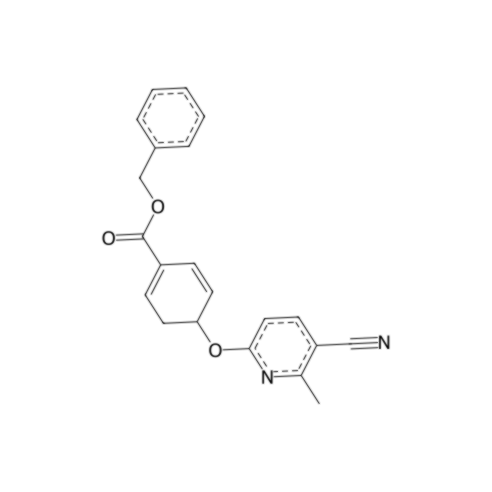 Cc1nc(OC2C=CC(C(=O)OCc3ccccc3)=CC2)ccc1C#N